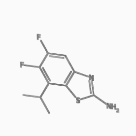 CC(C)c1c(F)c(F)cc2nc(N)sc12